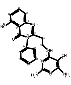 N#Cc1c(N)nc(N)nc1NCCc1nc2cccc(C#N)c2c(=O)n1-c1ccccc1